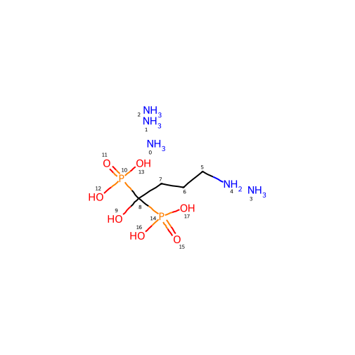 N.N.N.N.NCCCC(O)(P(=O)(O)O)P(=O)(O)O